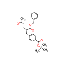 CC(=O)CCC(Cc1ccc(C(=O)OC(C)(C)C)cc1)C(=O)OCc1ccccc1